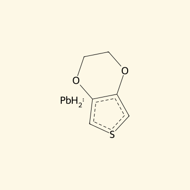 [PbH2].c1scc2c1OCCO2